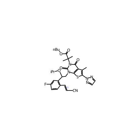 CCCCOC(=O)C(C)(C)n1c(=O)c2c(C)c(-n3nccn3)sc2n(CC(OC(C)C)c2cc(F)ccc2/C=C/C#N)c1=O